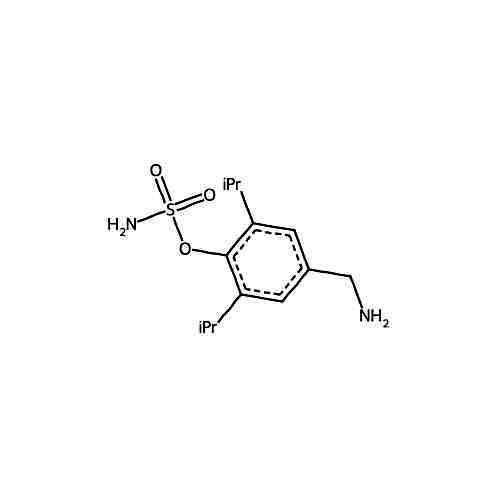 CC(C)c1cc(CN)cc(C(C)C)c1OS(N)(=O)=O